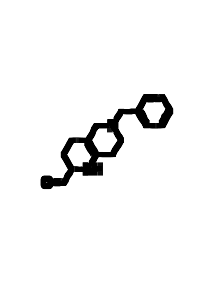 O=CC1CCC2=C(CCN(Cc3ccccc3)C2)N1